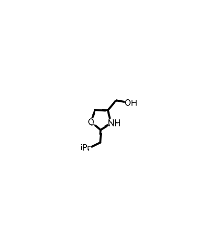 CC(C)CC1NC(CO)CO1